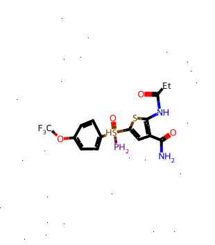 CCC(=O)Nc1sc([SH](=O)(P)c2ccc(OC(F)(F)F)cc2)cc1C(N)=O